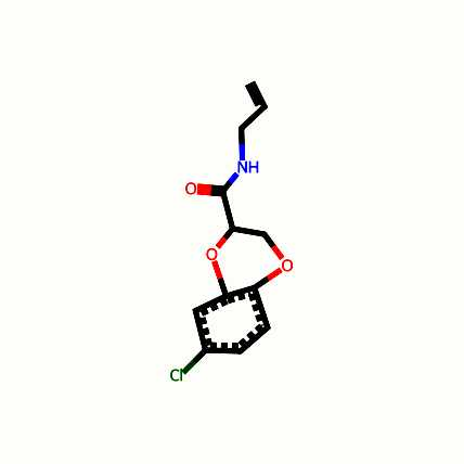 C=CCNC(=O)C1COc2ccc(Cl)cc2O1